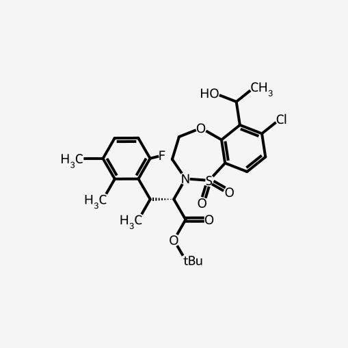 Cc1ccc(F)c(C(C)[C@@H](C(=O)OC(C)(C)C)N2CCOc3c(ccc(Cl)c3C(C)O)S2(=O)=O)c1C